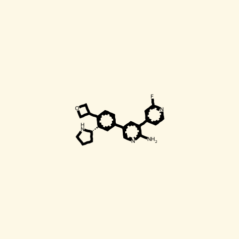 Nc1ncc(-c2ccc(C3COC3)c([C@@H]3CCCN3)c2)cc1-c1ccnc(F)c1